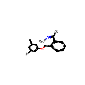 CO/N=C(/C#N)c1ccccc1COc1cc(C)cc(C(C)C)c1